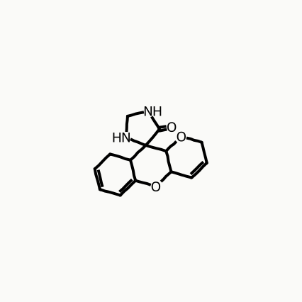 O=C1NCNC12C1CC=CC=C1OC1C=CCOC12